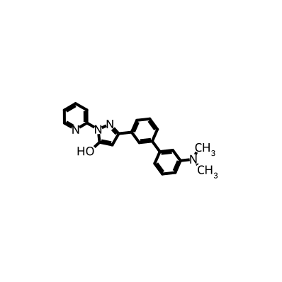 CN(C)c1cccc(-c2cccc(-c3cc(O)n(-c4ccccn4)n3)c2)c1